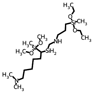 CCO[Si](C)(CCCNC[SiH2]C(CCCCCN(C)C)[Si](C)(OC)OC)OCC